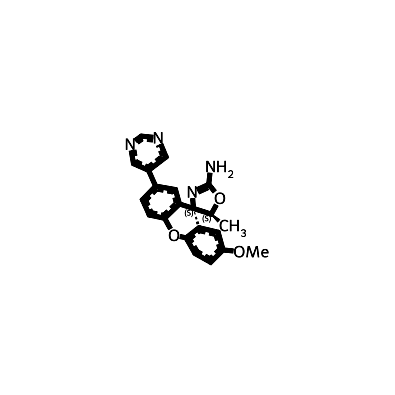 COc1ccc2c(c1)[C@@]1(N=C(N)O[C@H]1C)c1cc(-c3cncnc3)ccc1O2